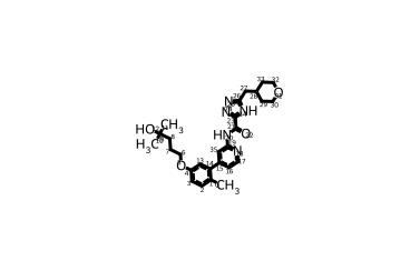 Cc1ccc(OCCCC(C)(C)O)cc1-c1ccnc(NC(=O)c2nnc(CC3CCOCC3)[nH]2)c1